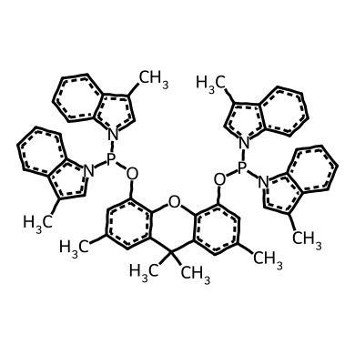 Cc1cc(OP(n2cc(C)c3ccccc32)n2cc(C)c3ccccc32)c2c(c1)C(C)(C)c1cc(C)cc(OP(n3cc(C)c4ccccc43)n3cc(C)c4ccccc43)c1O2